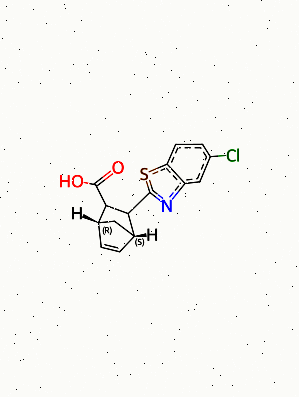 O=C(O)C1C(c2nc3cc(Cl)ccc3s2)[C@@H]2C=C[C@H]1C2